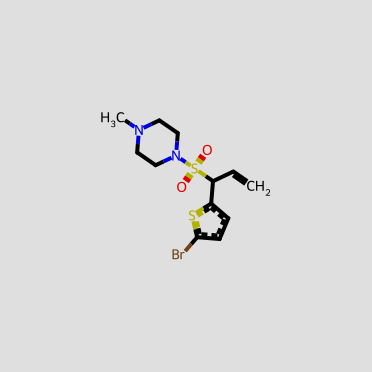 C=CC(c1ccc(Br)s1)S(=O)(=O)N1CCN(C)CC1